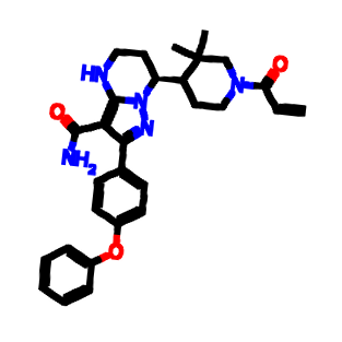 C=CC(=O)N1CCC([C@@H]2CCNc3c(C(N)=O)c(-c4ccc(Oc5ccccc5)cc4)nn32)C(C)(C)C1